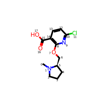 CN1CCC[C@@H]1COc1nc(Cl)ccc1C(=O)O